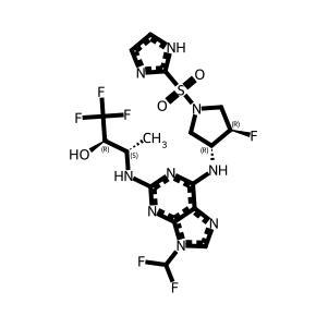 C[C@H](Nc1nc(N[C@@H]2CN(S(=O)(=O)c3ncc[nH]3)C[C@H]2F)c2ncn(C(F)F)c2n1)[C@@H](O)C(F)(F)F